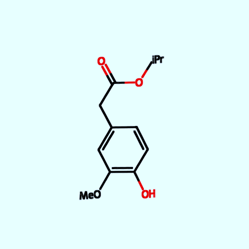 COc1cc(CC(=O)OC(C)C)ccc1O